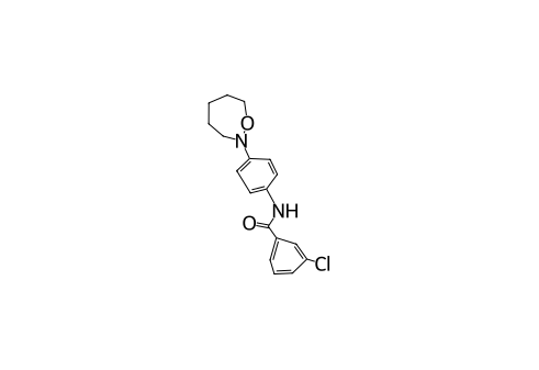 O=C(Nc1ccc(N2CCCCCO2)cc1)c1cccc(Cl)c1